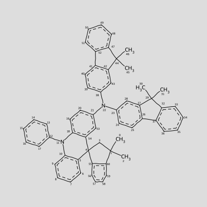 CC1(C)CC2(c3ccccc3N(c3ccccc3)c3ccc(N(c4ccc5c(c4)C(C)(C)c4ccccc4-5)c4ccc5c(c4)C(C)(C)c4ccccc4-5)cc32)c2ccccc21